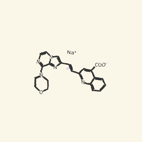 O=C([O-])c1cc(/C=C/c2cn3ccnc(N4CCOCC4)c3n2)nc2ccccc12.[Na+]